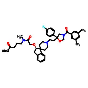 COC(=O)CCCN(C)C(=O)CO[C@H]1Cc2ccccc2C12CCN(CC[C@@]1(c3ccc(F)cc3)CN(C(=O)c3cc(C(F)(F)F)cc(C(F)(F)F)c3)CO1)CC2